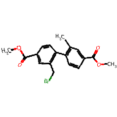 COC(=O)c1ccc(-c2ccc(C(=O)OC)cc2CBr)c(C)c1